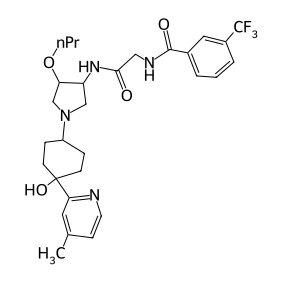 CCCOC1CN(C2CCC(O)(c3cc(C)ccn3)CC2)CC1NC(=O)CNC(=O)c1cccc(C(F)(F)F)c1